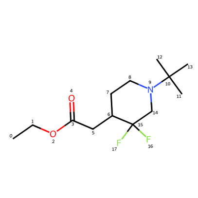 CCOC(=O)CC1CCN(C(C)(C)C)CC1(F)F